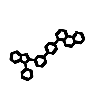 c1ccc(-n2c(-c3cccc(-c4ccc(-c5cccc6c5ccc5cccnc56)cc4)c3)nc3ccccc32)cc1